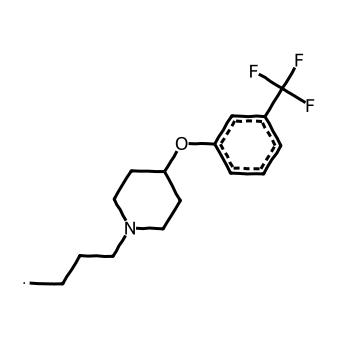 [CH2]CCCN1CCC(Oc2cccc(C(F)(F)F)c2)CC1